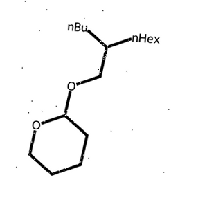 CCCCCCC(CCCC)COC1CCCCO1